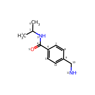 CC(C)NC(=O)c1ccc(C[NH])cc1